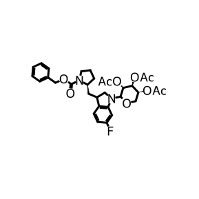 CC(=O)O[C@H]1[C@H](OC(C)=O)COC(N2CC(C[C@@H]3CCCN3C(=O)OCc3ccccc3)c3ccc(F)cc32)[C@@H]1OC(C)=O